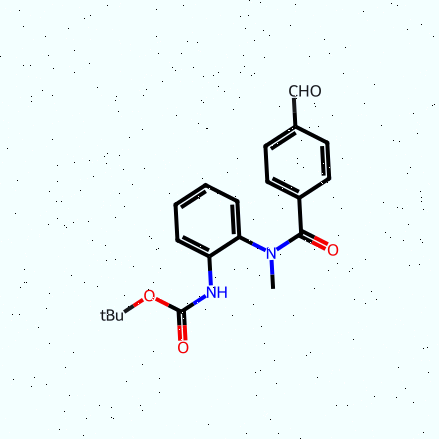 CN(C(=O)c1ccc(C=O)cc1)c1ccccc1NC(=O)OC(C)(C)C